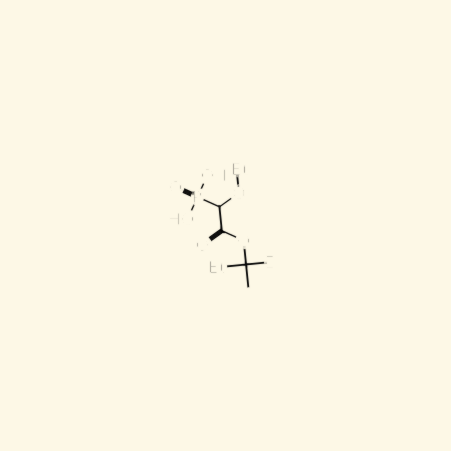 CCOC(C(=O)OC(C)(CC)CC)P(=O)(O)O